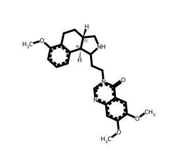 COc1cc2ncn(CCC3NC[C@H]4CCc5c(OC)cccc5[C@H]34)c(=O)c2cc1OC